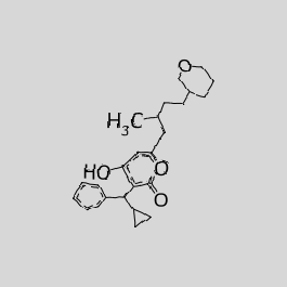 CC(CCC1CCCOC1)Cc1cc(O)c(C(c2ccccc2)C2CC2)c(=O)o1